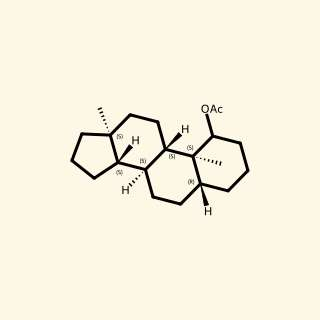 CC(=O)OC1CCC[C@@H]2CC[C@H]3[C@@H]4CCC[C@@]4(C)CC[C@@H]3[C@@]12C